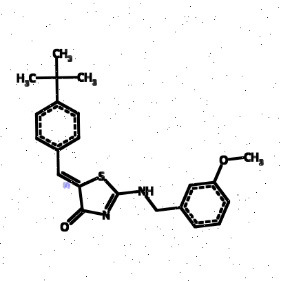 COc1cccc(CNC2=NC(=O)/C(=C/c3ccc(C(C)(C)C)cc3)S2)c1